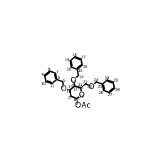 CC(=O)O[C@@H]1C[C@H](OCc2ccccc2)[C@@H](OCc2ccccc2)[C@@H](COCc2ccccc2)O1